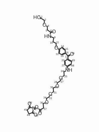 C#CCOCCC(=O)NCCCOc1ccc(C(=O)c2ccc(NCCOCCOCCOCCOCCC(=O)ON3C(=O)CCC3=O)cc2)cc1